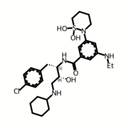 CCNc1cc(C(=O)N[C@@H](Cc2ccc(Cl)cc2)[C@H](O)CNC2CCCCC2)cc(N2CCCCS2(O)O)c1